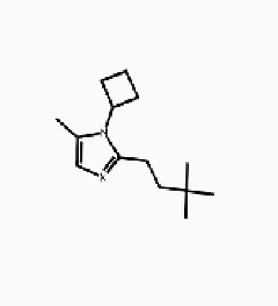 Cc1cnc(CCC(C)(C)C)n1C1CCC1